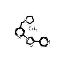 C[C@H]1CCCN1Cc1ccnc(N2C=C(c3ccncc3)SC2)c1